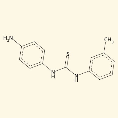 Cc1cccc(NC(=S)Nc2ccc(N)cc2)c1